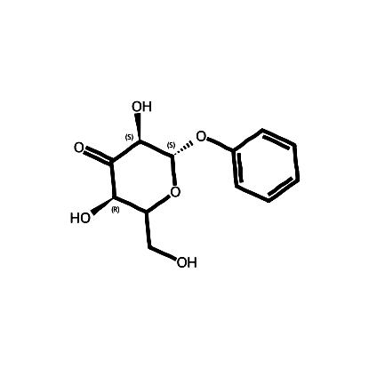 O=C1[C@@H](O)[C@H](Oc2ccccc2)OC(CO)[C@H]1O